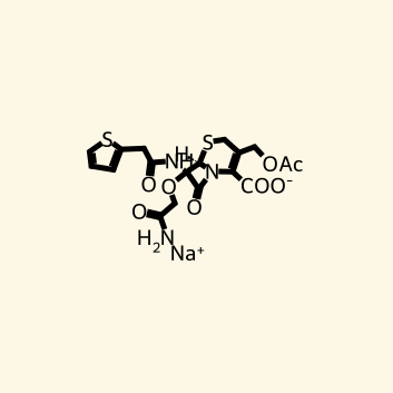 CC(=O)OCC1=C(C(=O)[O-])N2C(=O)[C@](NC(=O)Cc3cccs3)(OCC(N)=O)[C@H]2SC1.[Na+]